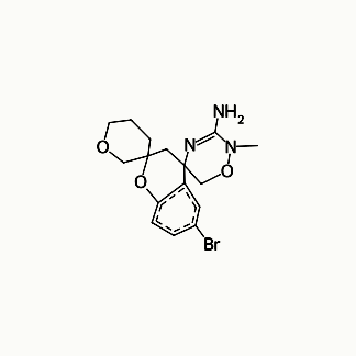 CN1OCC2(CC3(CCCOC3)Oc3ccc(Br)cc32)N=C1N